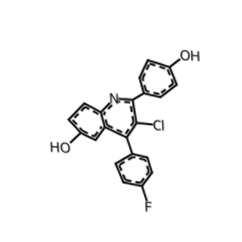 Oc1ccc(-c2nc3ccc(O)cc3c(-c3ccc(F)cc3)c2Cl)cc1